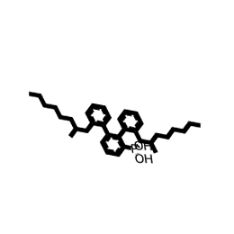 CCCCCCC(C)Cc1ccccc1-c1cccc(P(O)O)c1-c1ccccc1CC(C)CCCCCC